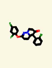 O=c1ccn2nc(Oc3ccc(F)cc3F)ccc2c1-c1ccccc1Br